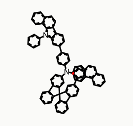 c1ccc(-c2ccc3c(c2)C2(c4ccccc4-3)c3ccccc3-c3ccc(N(c4ccc(-c5ccc6c7ccc8ccccc8c7n(-c7ccccc7)c6c5)cc4)c4ccc5c(ccc6ccccc65)c4)cc32)cc1